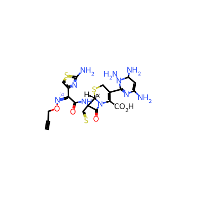 C#CCO/N=C(\C(=O)NC1(C=S)C(=O)N2C(C(=O)O)=C(C3=NC(N)=CC(N)N3N)CS[C@H]21)c1csc(N)n1